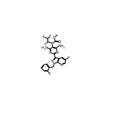 COC(=O)N(c1c(N)nc(-c2nn(Cc3ccccc3F)c3ncc(F)cc23)nc1N)C(F)C(F)F